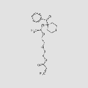 C=CC(=O)OCCOCCO[C@@H](C)OC1(C(=O)c2ccccc2)CCCCC1